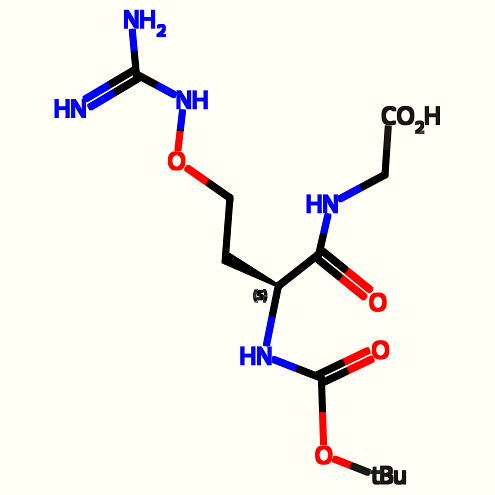 CC(C)(C)OC(=O)N[C@@H](CCONC(=N)N)C(=O)NCC(=O)O